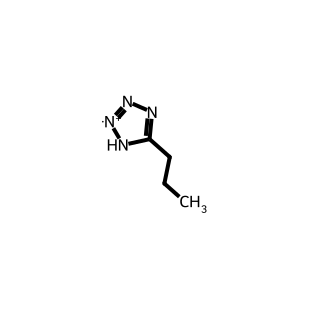 CCCC1=NN=[N+]N1